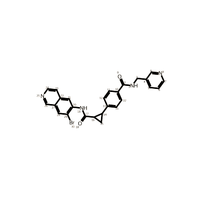 O=C(NCc1cccnc1)c1ccc(C2CC2C(=O)Nc2cc3ccncc3cc2Br)cc1